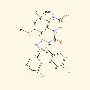 COC1(C)C=C(OC(C)C)C2(C)C3=N[C@H](c4cccc(Cl)c4)[C@H](c4ccc(Cl)cc4)N3C(=O)N3CC(=O)NC1=C32